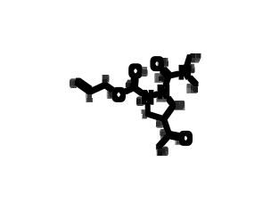 C=CCOC(=O)N1CC(C(C)=O)CN1C(=O)N(C)C